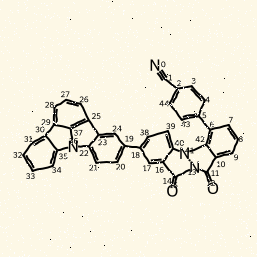 N#Cc1ccc(-c2cccc3c(=O)n4c(=O)c5cc(-c6ccc7c(c6)c6cccc8c9ccccc9n7c86)ccc5n4c23)cc1